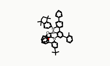 Cc1ccccc1-c1cc2c3c(c1)N(c1ccc(C(C)(C)C)cc1-c1ccccc1)c1c(oc4ccccc14)B3N(c1ccc3c(c1)C(C)(C)CCC3(C)C)c1cc(-c3ccccc3)ccc1-2